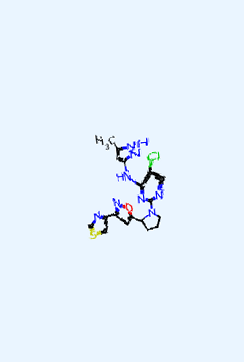 Cc1cc(Nc2nc(N3CCCC3c3cc(-c4cscn4)no3)ncc2Cl)n[nH]1